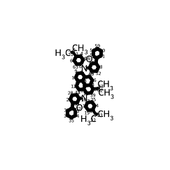 CC(C)c1ccc(N(c2ccc3ccc4c(N(c5ccc(C(C)C)cc5)c5cccc6c5oc5ccccc56)cc(C(C)C)c5ccc2c3c54)c2cccc3c2oc2ccccc23)cc1